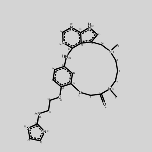 CN1CCCN(C)C(=O)COc2cc(ccc2OCCNc2nccs2)Nc2ncnc3[nH]cc(c23)C1